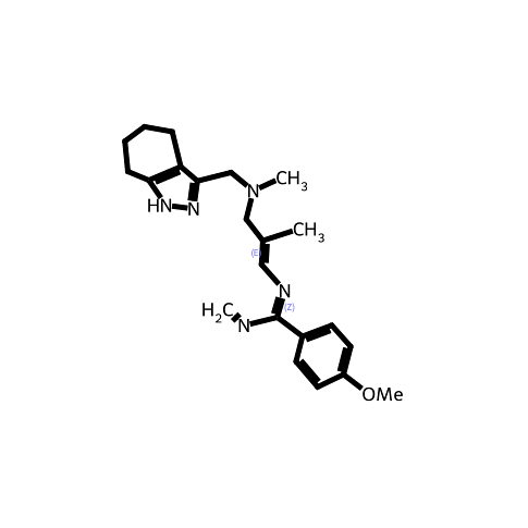 C=N/C(=N\C=C(/C)CN(C)Cc1n[nH]c2c1CCCC2)c1ccc(OC)cc1